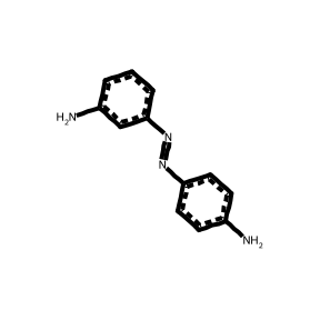 Nc1ccc(N=Nc2cccc(N)c2)cc1